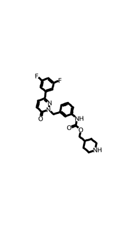 O=C(Nc1cccc(Cn2nc(-c3cc(F)cc(F)c3)ccc2=O)c1)OCC1CCNCC1